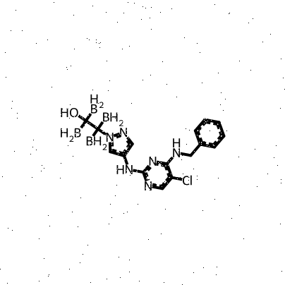 BC(B)(O)C(B)(B)n1cc(Nc2ncc(Cl)c(NCc3ccccc3)n2)cn1